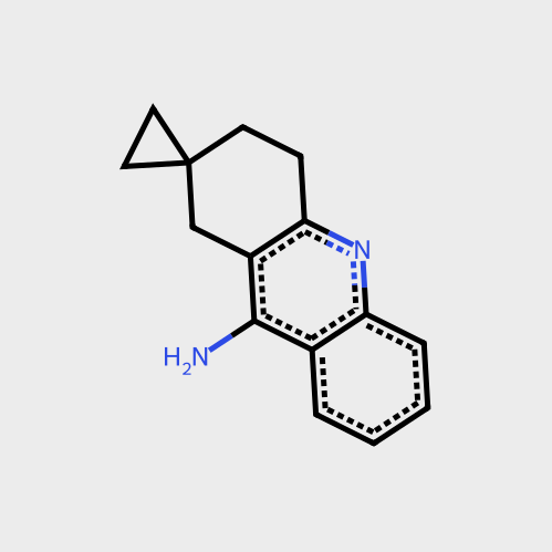 Nc1c2c(nc3ccccc13)CCC1(CC1)C2